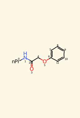 CCCNC(=O)COc1ccccc1